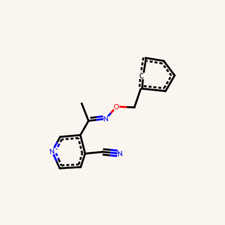 C/C(=N\OCc1ccccc1)c1cnccc1C#N